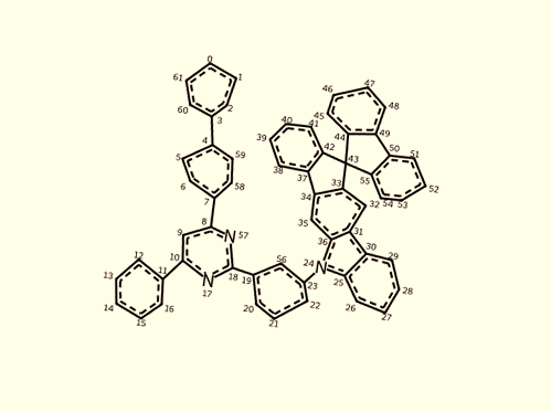 c1ccc(-c2ccc(-c3cc(-c4ccccc4)nc(-c4cccc(-n5c6ccccc6c6cc7c(cc65)-c5ccccc5C75c6ccccc6-c6ccccc65)c4)n3)cc2)cc1